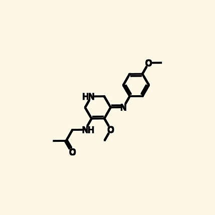 COC1=C(NCC(C)=O)CNC/C1=N\c1ccc(OC)cc1